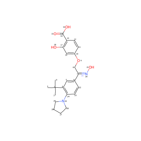 CC(C)(C)c1cc(/C(COc2ccc(C(=O)O)c(O)c2)=N/O)ccc1N1CCCC1